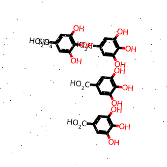 O=C(O)c1cc(O)c(O)c(O)c1.O=C(O)c1cc(O)c(O)c(O)c1.O=C(O)c1cc(O)c(O)c(O)c1.O=C(O)c1cc(O)c(O)c(O)c1.[SiH4]